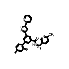 Cc1ccc(-c2cc(C(=O)N[C@H](C)c3ccc(C(F)(F)F)nc3)cc(C3=NOC(c4ccccn4)C3)c2)c(F)c1